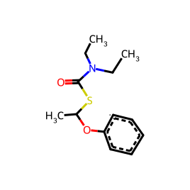 CCN(CC)C(=O)SC(C)Oc1[c]cccc1